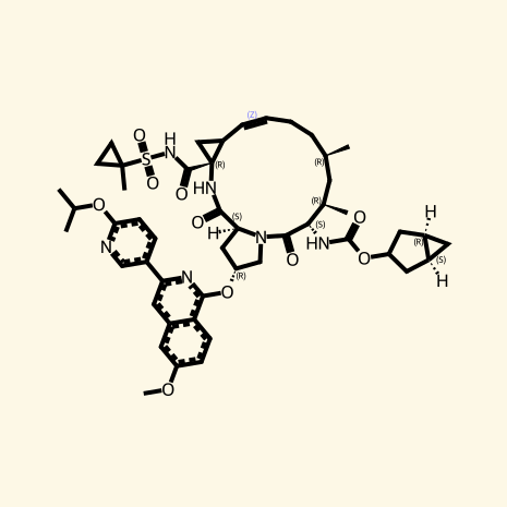 COc1ccc2c(O[C@@H]3C[C@H]4C(=O)N[C@]5(C(=O)NS(=O)(=O)C6(C)CC6)CC5/C=C\CC[C@@H](C)C[C@@H](C)[C@H](NC(=O)OC5C[C@@H]6C[C@@H]6C5)C(=O)N4C3)nc(-c3ccc(OC(C)C)nc3)cc2c1